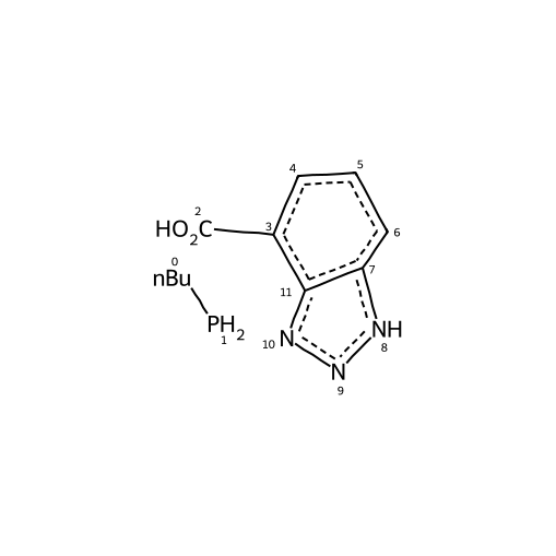 CCCCP.O=C(O)c1cccc2[nH]nnc12